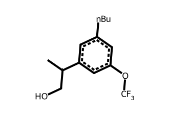 CCCCc1cc(OC(F)(F)F)cc([C](C)CO)c1